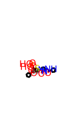 O=C(Nc1ccn(C2C[C@@H](OC(=O)c3ccccc3)[C@@H](COP(=O)(O)O)S2)c(=O)n1)c1ccccc1